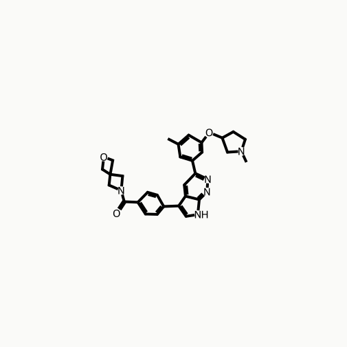 Cc1cc(OC2CCN(C)C2)cc(-c2cc3c(-c4ccc(C(=O)N5CC6(COC6)C5)cc4)c[nH]c3nn2)c1